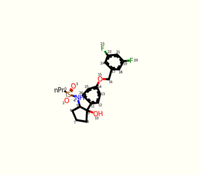 CCCS(=O)(=O)NC1CCCC1(O)c1ccc(OCc2cc(F)cc(F)c2)cc1